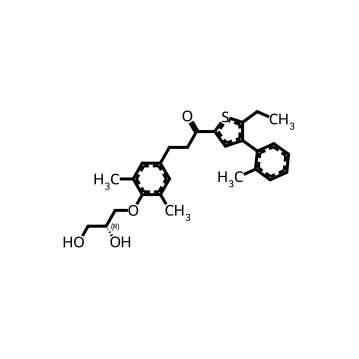 CCc1sc(C(=O)CCc2cc(C)c(OC[C@H](O)CO)c(C)c2)cc1-c1ccccc1C